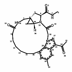 CNC(=O)[C@@H]1C[C@]23CNC(=O)CCCCCCc4cc(C)cc5c(C(C)=O)nn(c45)CC(=O)N1[C@@H]2C3